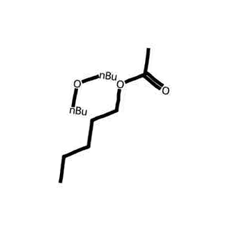 CCCCCOC(C)=O.CCCCOCCCC